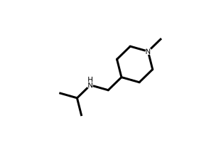 CC(C)NCC1CCN(C)CC1